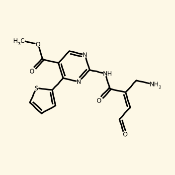 COC(=O)c1cnc(NC(=O)/C(=C\C=O)CN)nc1-c1cccs1